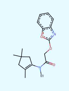 CCN(C(=O)COc1nc2ccccc2o1)C1=C(C)CC(C)(C)C1